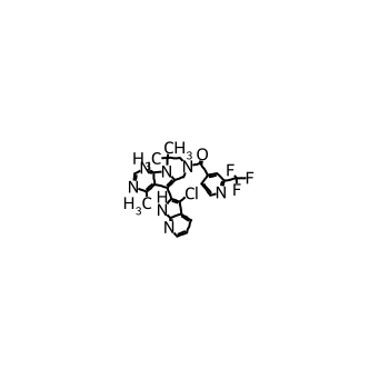 Cc1ncnc2c1c(-c1[nH]c3ncccc3c1Cl)c1n2C(C)(C)CN(C(=O)c2ccnc(C(F)(F)F)c2)C1